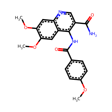 COc1ccc(C(=O)Nc2c(C(N)=O)cnc3cc(OC)c(OC)cc23)cc1